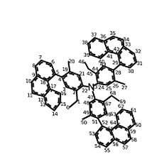 CCc1cc(-c2cccc3ccc4ccccc4c23)c(C)cc1N(c1cc(C)c(-c2cccc3ccc4ccccc4c23)cc1CC)c1cc(C)c(-c2cccc3ccc4ccccc4c23)cc1CC